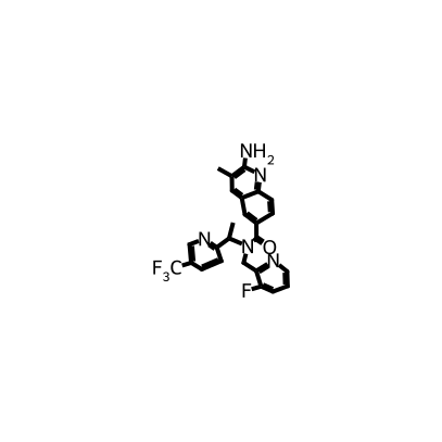 Cc1cc2cc(C(=O)N(Cc3ncccc3F)C(C)c3ccc(C(F)(F)F)cn3)ccc2nc1N